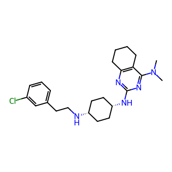 CN(C)c1nc(N[C@H]2CC[C@@H](NCCc3cccc(Cl)c3)CC2)nc2c1CCCC2